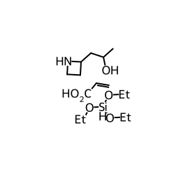 C=CC(=O)O.CC(O)CC1CCN1.CCO[SiH](OCC)OCC